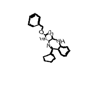 O=C(N[C@H]1N=C(C2CCCC2)c2ccccc2NC1=O)OCc1ccccc1